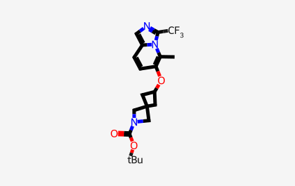 Cc1c(OC2CC3(C2)CN(C(=O)OC(C)(C)C)C3)ccc2cnc(C(F)(F)F)n12